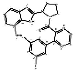 CSc1cccc2nc(C3CCCN3C(=O)c3nccnc3-c3cc(C)cc(F)c3)[nH]c12